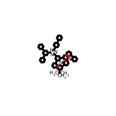 CC(C)(C)c1ccc2c(c1)c1ccc(-n3c4ccccc4c4ccccc43)cc1n2-c1c(-c2ccccc2)cc(-c2nc(-c3ccc(-c4ccccc4)cc3)nc(-c3cc(-c4ccccc4)cc(-c4ccccc4)c3)n2)cc1-c1ccccc1